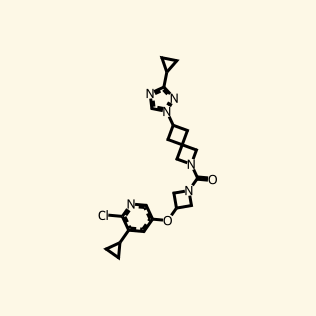 O=C(N1CC(Oc2cnc(Cl)c(C3CC3)c2)C1)N1CC2(CC(n3cnc(C4CC4)n3)C2)C1